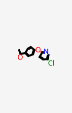 CC(=O)c1ccc(Oc2ccc(Cl)cn2)cc1